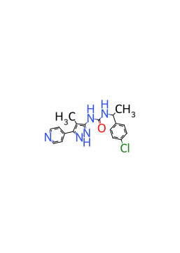 Cc1c(-c2ccncc2)n[nH]c1NC(=O)NC(C)c1ccc(Cl)cc1